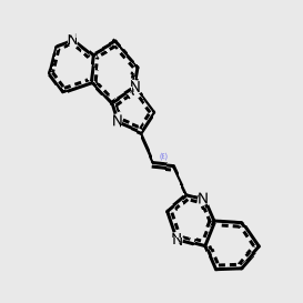 C(=C\c1cn2ccc3ncccc3c2n1)/c1cnc2ccccc2n1